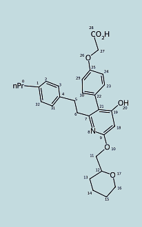 CCCc1ccc(CCc2nc(OCC3CCCCO3)cc(O)c2-c2ccc(OCC(=O)O)cc2)cc1